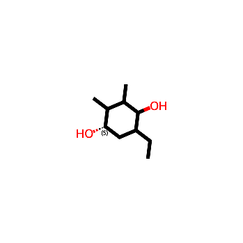 CCC1C[C@H](O)C(C)C(C)C1O